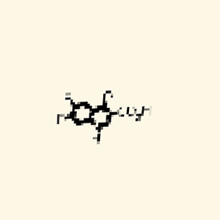 O=C(O)c1c[nH]c2cc(F)c(F)cc2c1=O